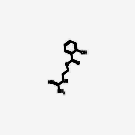 N=C(N)NCCOC(=O)c1ccccc1O